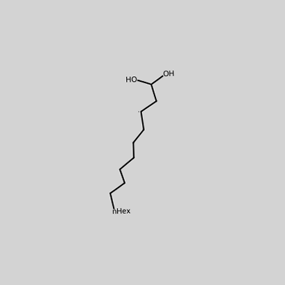 CCCCCCCCCCCC[CH]CC(O)O